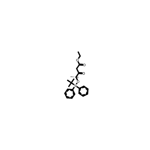 CCOC(=O)CC(=O)[C@@H](C)O[Si](c1ccccc1)(c1ccccc1)C(C)(C)C